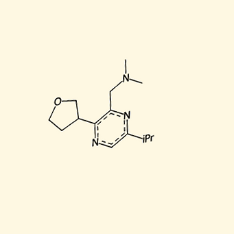 CC(C)c1cnc(C2CCOC2)c(CN(C)C)n1